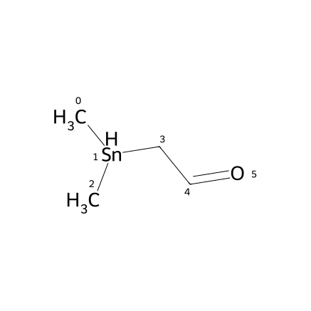 [CH3][SnH]([CH3])[CH2]C=O